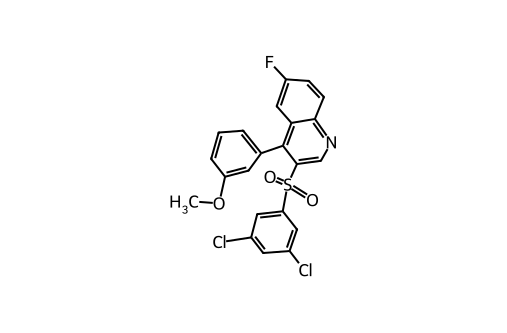 COc1cccc(-c2c(S(=O)(=O)c3cc(Cl)cc(Cl)c3)cnc3ccc(F)cc23)c1